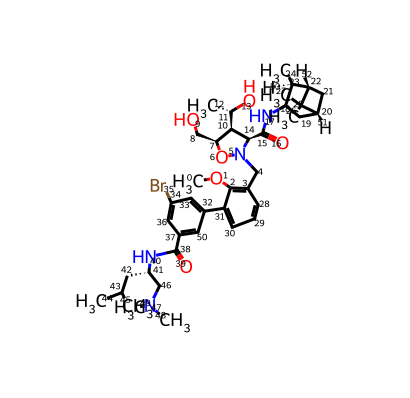 COc1c(CN2O[C@@H](CO)[C@@H]([C@H](C)O)[C@H]2C(=O)NC2C[C@H]3C[C@@H]([C@@H]2C)C3(C)C)cccc1-c1cc(Br)cc(C(=O)N[C@@H](CC(C)C)CN(C)C)c1